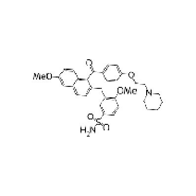 COc1ccc2c(C(=O)c3ccc(OCCN4CCCCC4)cc3)c(Cc3cc(S(N)(=O)=O)ccc3OC)ccc2c1